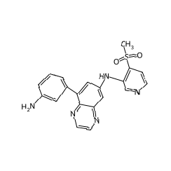 CS(=O)(=O)c1ccncc1Nc1cc(-c2cccc(N)c2)c2nccnc2c1